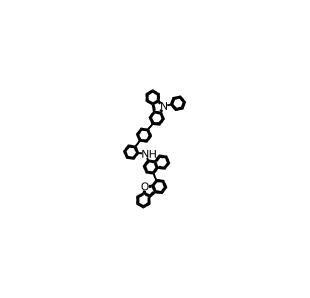 c1ccc(-n2c3ccccc3c3cc(-c4ccc(-c5ccccc5Nc5ccc(-c6cccc7c6oc6ccccc67)c6ccccc56)cc4)ccc32)cc1